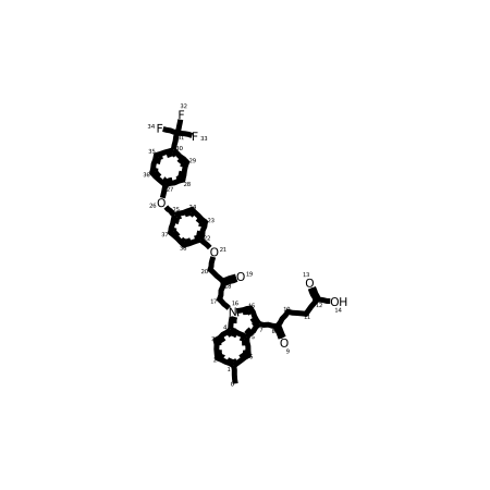 Cc1ccc2c(c1)c(C(=O)CCC(=O)O)cn2CC(=O)COc1ccc(Oc2ccc(C(F)(F)F)cc2)cc1